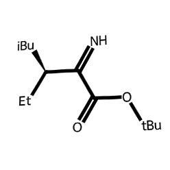 [CH2]CC(C)[C@H](CC)C(=N)C(=O)OC(C)(C)C